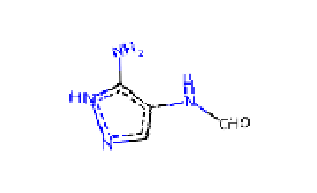 Nc1[nH]ncc1NC=O